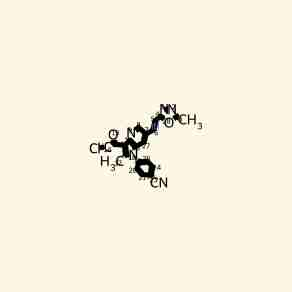 Cc1nnc(/C=C/c2cnc3c(C(=O)CCl)c(C)n(-c4ccc(C#N)cc4)c3c2)o1